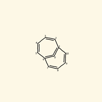 C1=C2C=CC=CC=1C=CC=C2